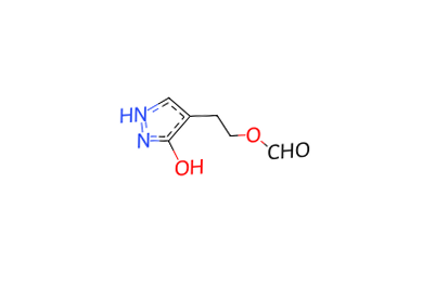 O=COCCc1c[nH]nc1O